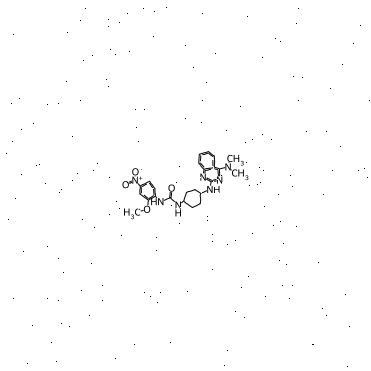 COc1cc([N+](=O)[O-])ccc1NC(=O)NC1CCC(Nc2nc(N(C)C)c3ccccc3n2)CC1